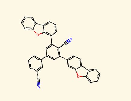 N#Cc1cccc(-c2cc(-c3ccc4c(c3)oc3ccccc34)c(C#N)c(-c3cccc4c3oc3ccccc34)c2)c1